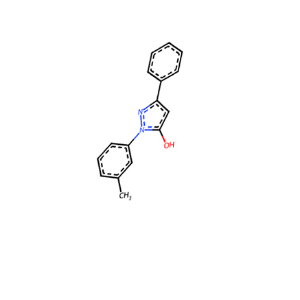 Cc1cccc(-n2nc(-c3ccccc3)cc2O)c1